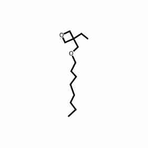 CCCCCCCCOCC1(CC)COC1